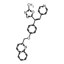 Cc1nnc(C(=Cc2ccncc2)c2ccc(OCc3ccc4ccccc4n3)cc2)o1